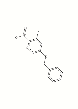 Cc1cc(SCc2ccccc2)cnc1[N+](=O)[O-]